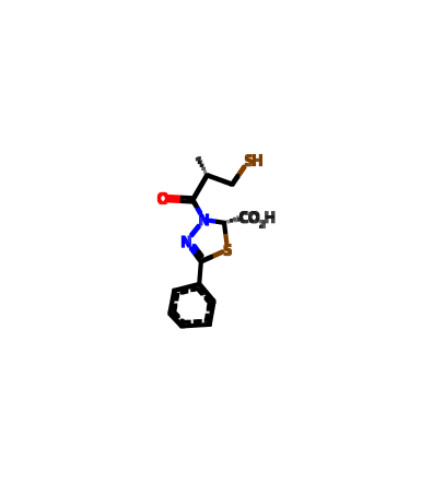 C[C@H](CS)C(=O)N1N=C(c2ccccc2)S[C@H]1C(=O)O